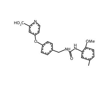 COc1ccc(C)cc1NC(=O)NCc1ccc(Oc2ccnc(C(=O)O)c2)cc1